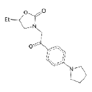 CCC1CN(CC(=O)c2ccc(N3CCCC3)cc2)C(=O)O1